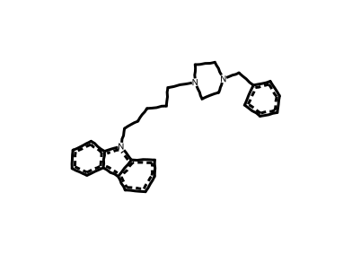 c1ccc(CN2CCN(CCCCCn3c4ccccc4c4ccccc43)CC2)cc1